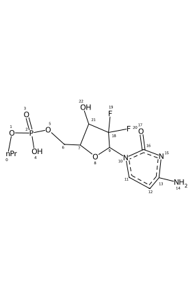 CCCOP(=O)(O)OCC1OC(n2ccc(N)nc2=O)C(F)(F)C1O